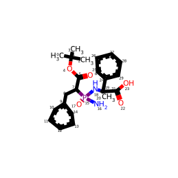 CC(C)(C)OC(=O)C(Cc1ccccc1)P(N)(=O)NC(C)(C(=O)O)c1ccccc1